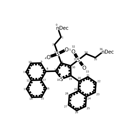 CCCCCCCCCCCCS(=O)(=O)c1c(-c2cccc3ccccc23)sc(-c2cccc3ccccc23)c1S(=O)(=O)CCCCCCCCCCCC